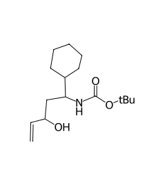 C=CC(O)CC(NC(=O)OC(C)(C)C)C1CCCCC1